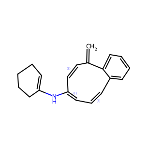 C=C1\C=C/C(NC2=CCCCC2)=C\C=C/c2ccccc21